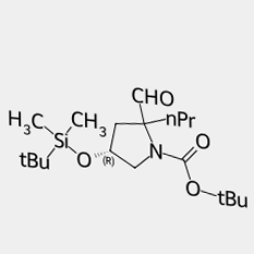 CCCC1(C=O)C[C@@H](O[Si](C)(C)C(C)(C)C)CN1C(=O)OC(C)(C)C